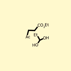 CCC(O)O.CCOC(=O)CCC(C)=O